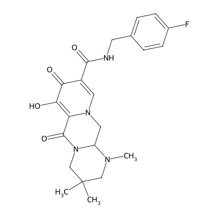 CN1CC(C)(C)CN2C(=O)c3c(O)c(=O)c(C(=O)NCc4ccc(F)cc4)cn3CC12